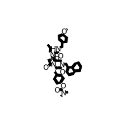 CCCN(C(=O)NCc1ccc(OC)cc1)N1CC(=O)N2[C@@H](Cc3ccc(OC(=O)N(C)C)cc3)C(=O)N(Cc3cccc4ccccc34)C[C@@H]21